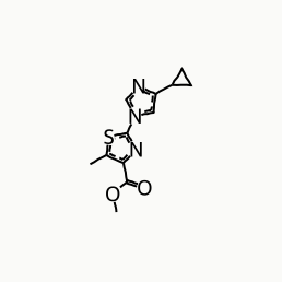 COC(=O)c1nc(-n2cnc(C3CC3)c2)sc1C